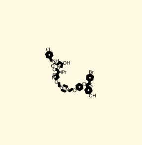 CC(C)[C@H](C(=O)N1C[C@H](O)C[C@H]1C(=O)NCc1ccc(Cl)cc1)c1cc(OCCN2CCN(CCOc3ccc(Oc4c(-c5ccc(Br)cc5)sc5cc(O)ccc45)cc3)CC2)no1